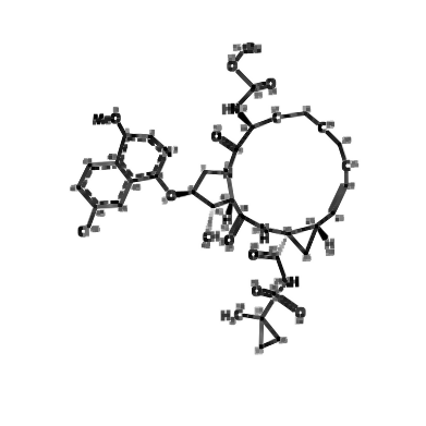 COc1cnc(O[C@H]2CN3C(=O)[C@@H](NC(=O)OC(C)(C)C)CCCCC/C=C\[C@@H]4C[C@@]4(C(=O)NS(=O)(=O)C4(C)CC4)NC(=O)[C@@H]3[C@@H]2C)c2cc(Cl)ccc12